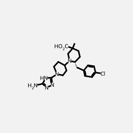 CC1(C(=O)O)CC[C@H](Cc2ccc(Cl)cc2)N(C2CCN(c3nnc(N)[nH]3)CC2)C1